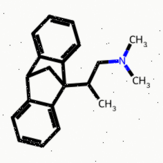 CC(CN(C)C)C12CC(c3ccccc31)c1ccccc12